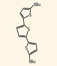 CC(C)(C)c1ccc(-c2ccc(-c3ccc(C(C)(C)C)s3)s2)s1